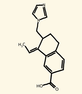 CC=C1c2cc(C(=O)O)ccc2CCC1Cn1ccnc1